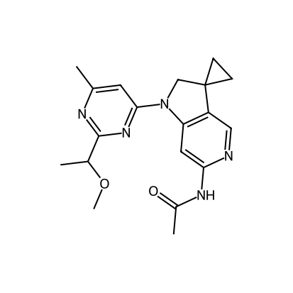 COC(C)c1nc(C)cc(N2CC3(CC3)c3cnc(NC(C)=O)cc32)n1